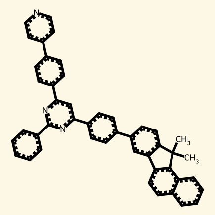 CC1(C)c2ccc(-c3ccc(-c4cc(-c5ccc(-c6ccncc6)cc5)nc(-c5ccccc5)n4)cc3)cc2-c2ccc3ccccc3c21